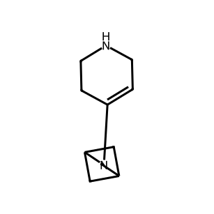 C1=C(N2CC3CC2C3)CCNC1